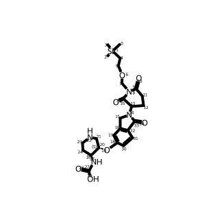 C[Si](C)(C)CCOCN1C(=O)CCC(N2Cc3cc(O[C@H]4CNCC[C@@H]4NC(=O)O)ccc3C2=O)C1=O